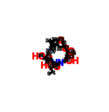 CCCC[C@@]1(O)C(=O)NCC(O)C(OC)C(=O)OC2COC3C=C(C)[C@@H](/C(C)=C/C4OC1CC4O)C3C2